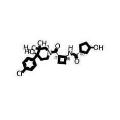 CC1(C)CN(C(=O)[C@H]2CC[C@H]2NC(=O)[C@@H]2CC[C@@H](O)C2)CC[C@]1(O)c1ccc(Cl)cc1